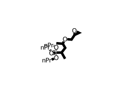 CCCO[Si](OCCC)(OCCC)C(C)CC(C)OCC1CO1